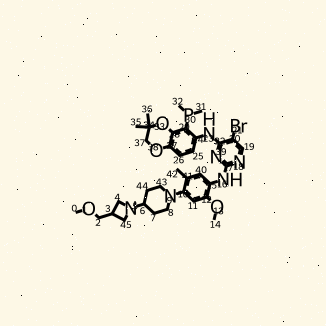 COCC1CN(C2CCN(c3cc(OC)c(Nc4ncc(Br)c(Nc5ccc6c(c5P(C)C)OC(C)(C)CO6)n4)cc3C)CC2)C1